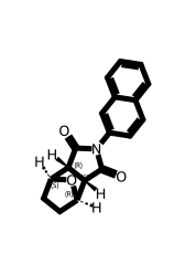 O=C1[C@@H]2[C@H](C(=O)N1c1ccc3ccccc3c1)[C@H]1CC[C@@H]2O1